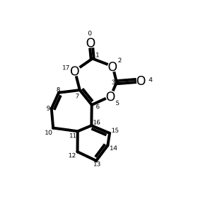 O=C1OC(=O)OC2=C(C=CCC3CC=CC=C23)O1